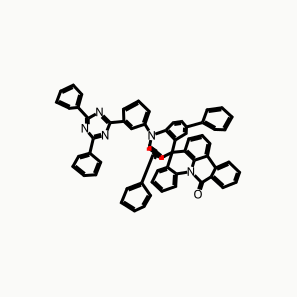 O=c1c2ccccc2c2cccc3c2n1-c1ccccc1C31c2cc(-c3ccccc3)ccc2N(c2cccc(-c3nc(-c4ccccc4)nc(-c4ccccc4)n3)c2)c2ccc(-c3ccccc3)cc21